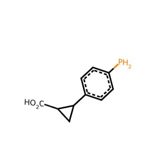 O=C(O)C1CC1c1ccc(P)cc1